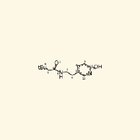 CC(C)(C)CC(=O)NCCc1ccc(O)nc1